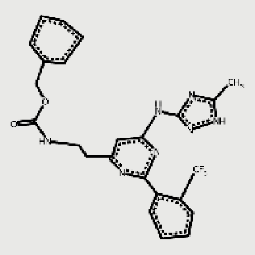 Cc1nc(Nc2cc(CCNC(=O)OCc3ccccc3)nc(-c3ccccc3C(F)(F)F)n2)n[nH]1